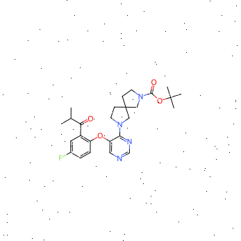 CC(C)C(=O)c1cc(F)ccc1Oc1cncnc1N1CCC2(CCN(C(=O)OC(C)(C)C)C2)C1